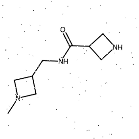 CN1CC(CNC(=O)C2CNC2)C1